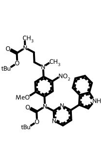 COc1cc(N(C)CCN(C)C(=O)OC(C)(C)C)c([N+](=O)[O-])cc1N(C(=O)OC(C)(C)C)c1nccc(-c2c[nH]c3ccccc23)n1